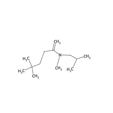 C=C(CCC(C)(C)C)N(C)CC(C)C